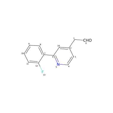 O=CCc1ccnc(-c2ccccc2F)c1